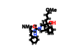 CNC[C@H](CC1CCCCC1)NC(=O)N1CCC[C@@](C)([C@](O)(CCCCOC)c2ccccc2)C1